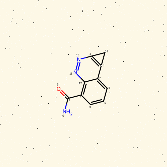 NC(=O)c1cccc2c3c(nnc12)C3